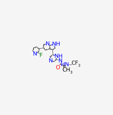 C[C@@H](NCC(F)(F)F)C(=O)Nc1cncc(-c2c[nH]c3ncc(-c4cccnc4F)cc23)n1